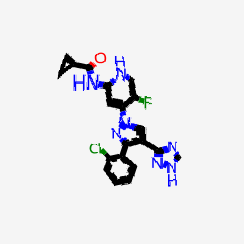 O=C(NC1C=C(n2cc(-c3nc[nH]n3)c(-c3ccccc3Cl)n2)C(F)=CN1)C1CC1